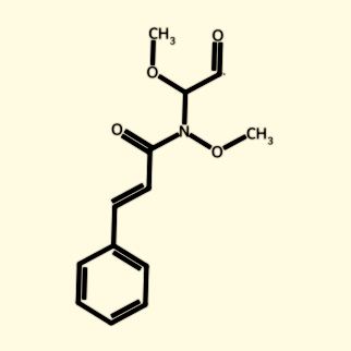 COC([C]=O)N(OC)C(=O)C=Cc1ccccc1